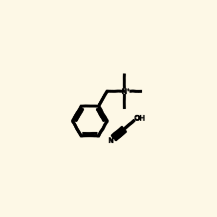 C[N+](C)(C)Cc1ccccc1.N#CO